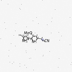 COc1cc(/C=C/C#N)cnc1-n1cnc(C)c1